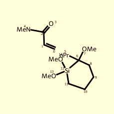 C=CC(=O)NC.CCCC1(OC)CCCC[Si]1(OC)OC